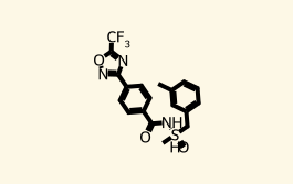 Cc1cccc(C[SH](C)(=O)NC(=O)c2ccc(-c3noc(C(F)(F)F)n3)cc2)c1